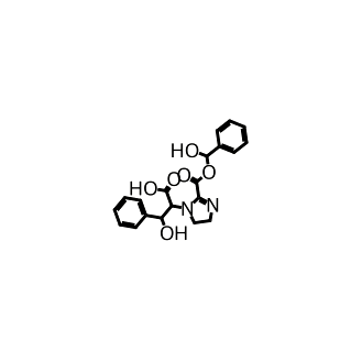 O=C(OC(O)c1ccccc1)C1=NCCN1C(C(=O)O)C(O)c1ccccc1